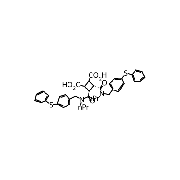 CCCN(Cc1ccc(Sc2ccccc2)cc1)C(=O)[C@H]1C(C(=O)O)C(C(=O)O)[C@@H]1C(=O)N(CCC)Cc1ccc(Sc2ccccc2)cc1